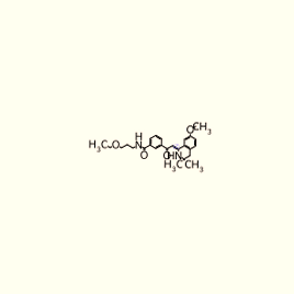 CCOCCCNC(=O)c1cccc(C(=O)/C=C2\NC(C)(C)Cc3ccc(OC)cc32)c1